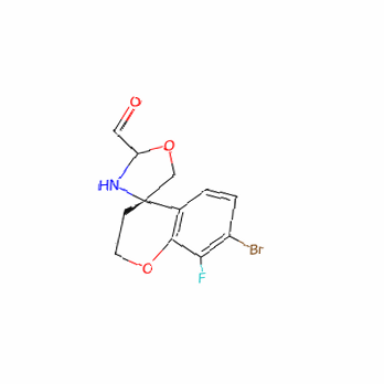 O=CC1N[C@]2(CCOc3c2ccc(Br)c3F)CO1